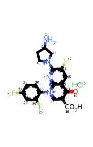 Cl.NC1CCN(c2nc3c(cc2F)c(=O)c(C(=O)O)cn3-c2ccc(F)cc2F)C1